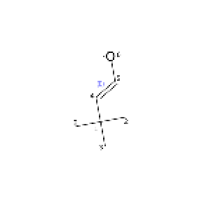 CC(C)(C)/C=C/[O]